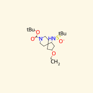 C=CO[C@H]1C[C@@H](N[S@+]([O-])C(C)(C)C)C2(CCN(C(=O)OC(C)(C)C)CC2)C1